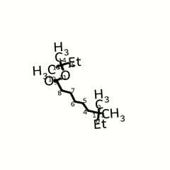 CCC(C)(C)CCCCCC(=O)OC(C)(C)CC